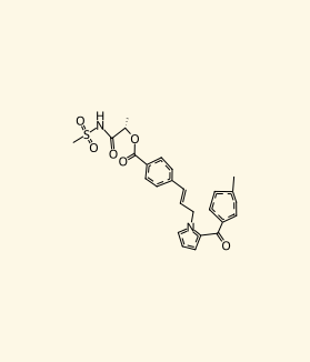 Cc1ccc(C(=O)c2cccn2CC=Cc2ccc(C(=O)O[C@@H](C)C(=O)NS(C)(=O)=O)cc2)cc1